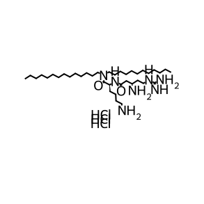 CCCCCCCCCCCCCCN(CCCCCCCCCCCC)C(=O)[C@H](CCCCN)NC(=O)C[C@@H](N)CCNC(=N)N.Cl.Cl.Cl